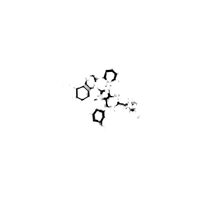 C[C@H]1CC[C@H](Cn2c(N3CCOC[C@H]3c3ccccn3)nc3c2[C@@H](c2cccc(Cl)c2)NC(c2noc(=O)[nH]2)=N3)CC1